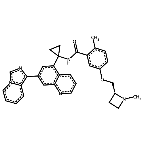 Cc1ccc(OC[C@@H]2CCN2C)cc1C(=O)NC1(c2cc(-c3ncn4ccccc34)cc3ncccc23)CC1